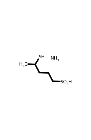 CC(S)CCCS(=O)(=O)O.N